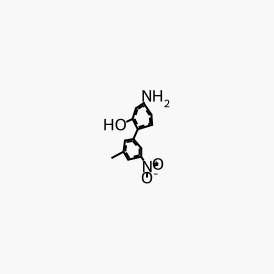 Cc1cc(-c2ccc(N)cc2O)cc([N+](=O)[O-])c1